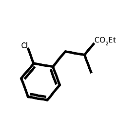 CCOC(=O)C(C)Cc1ccccc1Cl